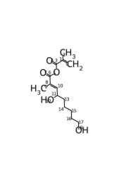 C=C(C)C(=O)OC(=O)C(C)=CC(O)CCCCCO